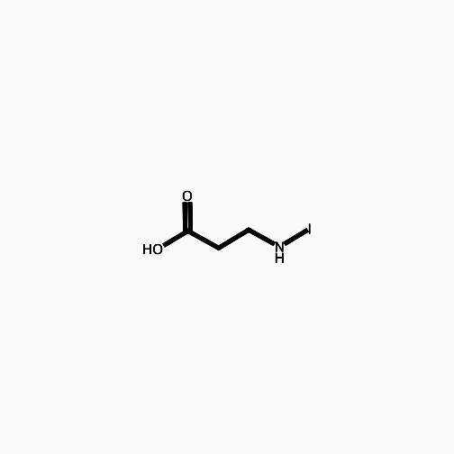 O=C(O)CCNI